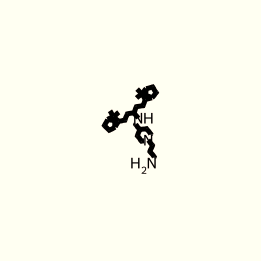 CC1(C)C2CCC(C2)C1CCC(CCC1C2CCC(C2)C1(C)C)NCC1CCN(CCCN)CC1